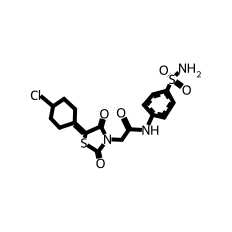 NS(=O)(=O)c1ccc(NC(=O)CN2C(=O)SC(=C3CCC(Cl)CC3)C2=O)cc1